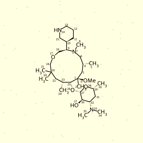 CO[C@]1(C)C[C@@H](C)CN(C)[C@H]([C@@H]2CCCNC2)COCC(C)(C)C[C@@H](C)[C@H]1O[C@@H]1O[C@H](C)C[C@H](N(C)C)[C@H]1O